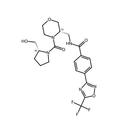 O=C(NC[C@H]1COCCN1C(=O)N1CCC[C@@H]1CO)c1ccc(-c2noc(C(F)(F)F)n2)cc1